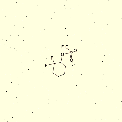 O=S(=O)(OC1CCCCC1(F)F)C(F)(F)F